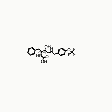 O=C(O)N[C@@H](Cc1ccccc1)[C@H](O)CNCc1ccc(OC(F)(F)F)cc1